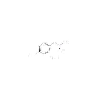 CN(C)Cc1ccc(O)cc1.[NaH]